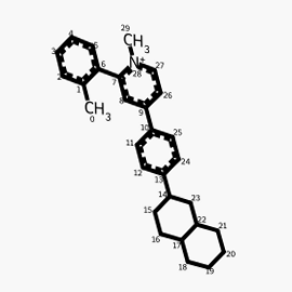 Cc1ccccc1-c1cc(-c2ccc(C3CCC4CCCCC4C3)cc2)cc[n+]1C